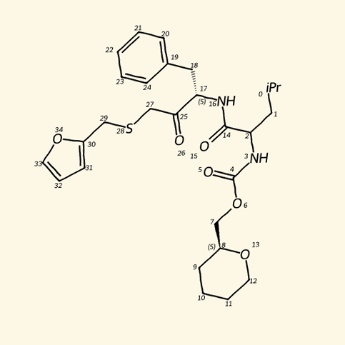 CC(C)CC(NC(=O)OC[C@@H]1CCCCO1)C(=O)N[C@@H](Cc1ccccc1)C(=O)CSCc1ccco1